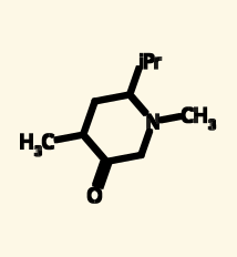 CC1CC(C(C)C)N(C)CC1=O